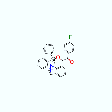 C[Si](O[C@H](C(=O)c1ccc(F)cc1)c1cccc2cc[nH]c12)(c1ccccc1)c1ccccc1